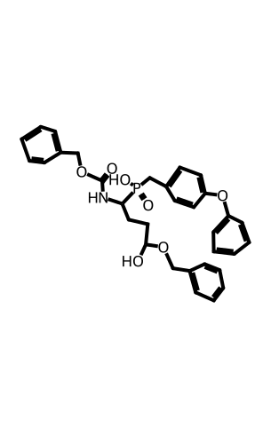 O=C(NC(CCC(O)OCc1ccccc1)P(=O)(O)Cc1ccc(Oc2ccccc2)cc1)OCc1ccccc1